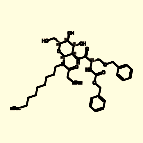 CCCCCCCCCCCCCCCCCCN(C(=O)CCCCCCCCCCC)[C@@H]1O[C@H](CO)[C@@H](O)[C@H](O)[C@H]1NC(=O)[C@H](COCc1ccccc1)NC(=O)OCc1ccccc1